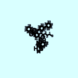 CCCCCCc1c(C(N)=O)ccc(S(=O)(=O)c2ccccc2)c1Cc1ccc(-c2ccccc2)cc1.S.c1ccc2[nH]cnc2c1